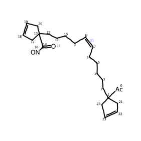 CC(=O)C1(CCCCC/C=C\CCCCC2(C(=O)N=O)CC=CC2)CC=CC1